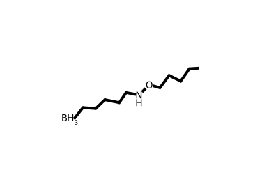 B.CCCCCCNOCCCCC